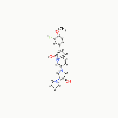 COc1ccc(C2=C\C(=O)N3C=C(N4C[C@H](O)[C@@H](N5CCCC5)C4)C=C\C3=C/C=C/2)cc1F